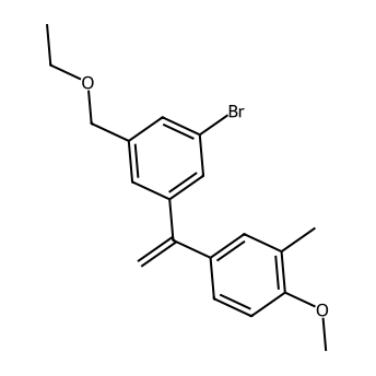 C=C(c1cc(Br)cc(COCC)c1)c1ccc(OC)c(C)c1